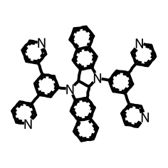 c1cncc(-c2cc(-c3cccnc3)cc(N3c4cc5ccccc5cc4C4C3c3cc5ccccc5cc3N4c3cc(-c4cccnc4)cc(-c4cccnc4)c3)c2)c1